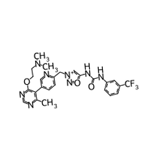 Cc1ncnc(OCCN(C)C)c1-c1ccc(C[n+]2cc(NC(=O)Nc3cccc(C(F)(F)F)c3)on2)nc1